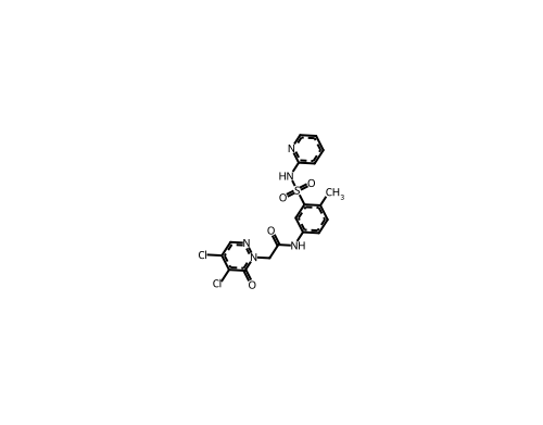 Cc1ccc(NC(=O)Cn2ncc(Cl)c(Cl)c2=O)cc1S(=O)(=O)Nc1ccccn1